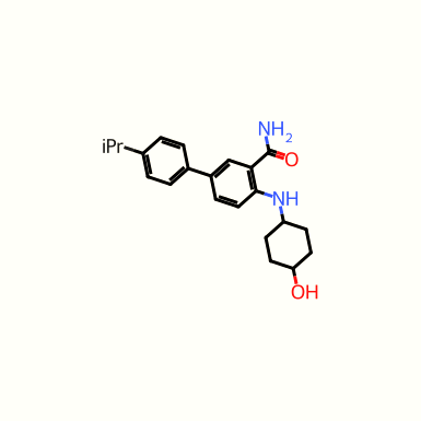 CC(C)c1ccc(-c2ccc(NC3CCC(O)CC3)c(C(N)=O)c2)cc1